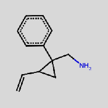 C=CC1CC1(CN)c1ccccc1